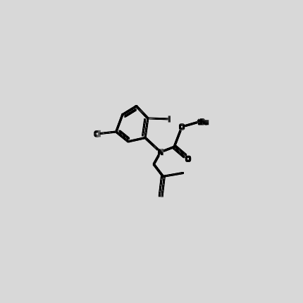 C=C(C)CN(C(=O)OC(C)(C)C)c1cc(Cl)ccc1I